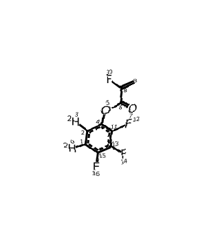 [2H]c1c([2H])c(OC(=O)C(=C)F)c(F)c(F)c1F